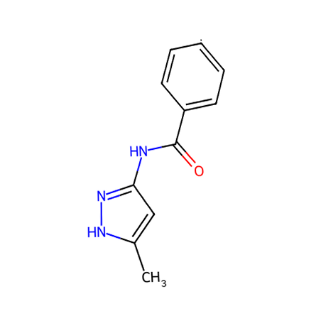 Cc1cc(NC(=O)c2cc[c]cc2)n[nH]1